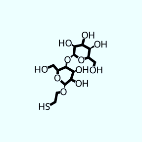 OCC1O[C@@H](O[C@@H]2C(CO)O[C@@H](OCCS)C(O)[C@H]2O)[C@@H](O)C(O)[C@H]1O